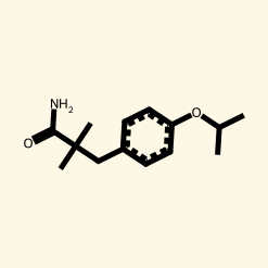 CC(C)Oc1ccc(CC(C)(C)C(N)=O)cc1